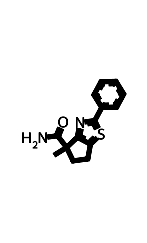 CC1(C(N)=O)CCc2sc(-c3ccccc3)nc21